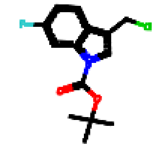 CC(C)(C)OC(=O)n1cc(CCl)c2ccc(F)cc21